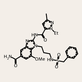 CCn1nc(C)cc1C(=O)Nc1nc2cc(C(N)=O)cc(OC)c2n1CCCNS(=O)(=O)Cc1ccccc1